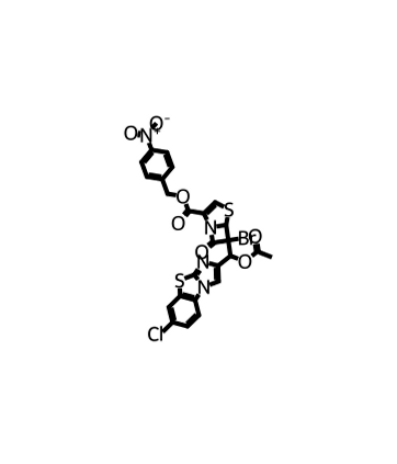 CC(=O)OC(c1cn2c(n1)sc1cc(Cl)ccc12)C1(Br)C(=O)N2C(C(=O)OCc3ccc([N+](=O)[O-])cc3)=CSC21